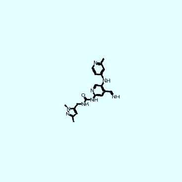 Cc1cc(Nc2cnc(NC(=O)NCc3cc(C)nn3C)cc2C=N)ccn1